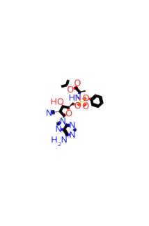 CC(C)OC(=O)[C@@H](C)N[P@@](=O)(OC[C@H]1O[C@@H](n2cnc3c(N)ncnc32)[C@H](C#N)[C@@H]1O)Oc1ccccc1